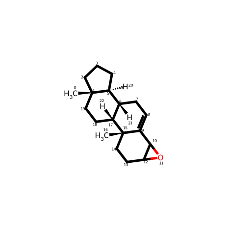 C[C@@]12CCC[C@H]1[C@@H]1CC=C3C4OC4CC[C@]3(C)[C@@H]1CC2